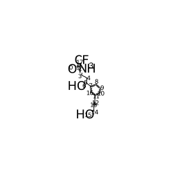 O=C(NCCC(O)c1cccc(C#CCO)c1)C(F)(F)F